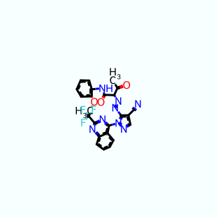 COc1ccccc1NC(=O)C(N=Nc1c(C#N)cnn1-c1nc(C(F)(F)F)nc2ccccc12)C(C)=O